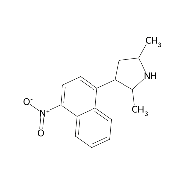 CC1CC(c2ccc([N+](=O)[O-])c3ccccc23)C(C)N1